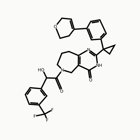 O=C(C(O)c1cccc(C(F)(F)F)c1)N1CCCc2nc(C3(c4cccc(C5=CCOCC5)c4)CC3)[nH]c(=O)c2C1